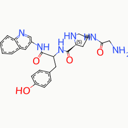 NCC(=O)N[C@H]1CN[C@H](C(=O)NC(Cc2ccc(O)cc2)C(=O)Nc2cnc3ccccc3c2)C1